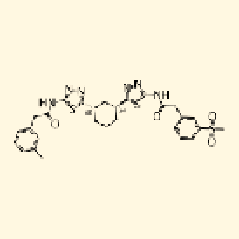 Cc1cccc(CC(=O)Nc2nnc([C@H]3CCC[C@H](c4nnc(NC(=O)Cc5cccc(S(C)(=O)=O)c5)s4)C3)s2)c1